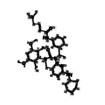 COc1cc(OC)c(F)c(N2Cc3cnc(Nc4ccccc4)nc3N(C(C)c3cccc(NC(=O)/C=C/CN(C)C)c3)C2=O)c1F